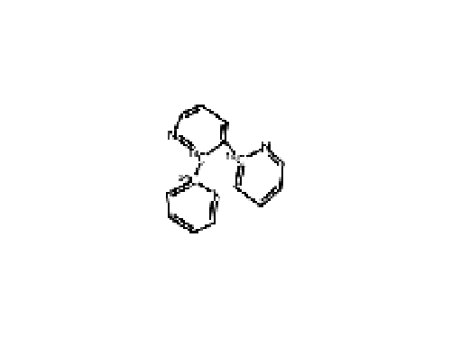 c1cc[14c](-c2cccn[14c]2-[14c]2ccccn2)nc1